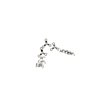 O=[Si]([O-])[O-].O=[Si]([O-])[O-].O=[Si]([O-])[O-].[Al+3].[Al+3].[CaH2].[CaH2].[CaH2].[CaH2].[CaH2].[CaH2]